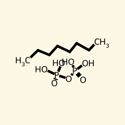 CCCCCCCC.O=P(O)(O)OP(=O)(O)O